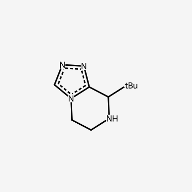 CC(C)(C)C1NCCn2cnnc21